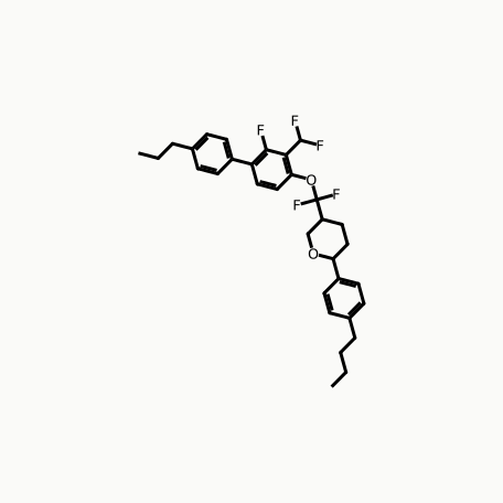 CCCCc1ccc(C2CCC(C(F)(F)Oc3ccc(-c4ccc(CCC)cc4)c(F)c3C(F)F)CO2)cc1